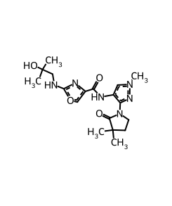 Cn1cc(NC(=O)c2coc(NCC(C)(C)O)n2)c(N2CCC(C)(C)C2=O)n1